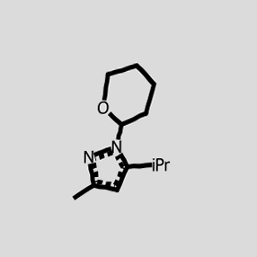 Cc1cc(C(C)C)n(C2CCCCO2)n1